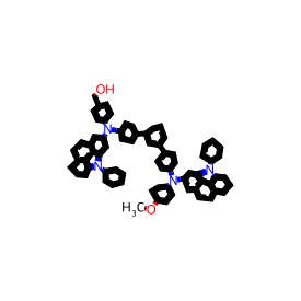 COc1ccc(N(c2ccc(-c3cccc(-c4ccc(N(c5ccc(CO)cc5)c5cc6ccc7cccc8c7c6c(c5)n8-c5ccccc5)cc4)c3)cc2)c2cc3ccc4cccc5c4c3c(c2)n5-c2ccccc2)cc1